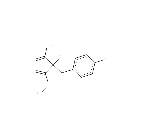 COC(=O)C(N)(Cc1ccc(N)cc1)C(=O)OC(C)(C)C